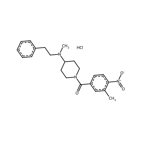 Cc1cc(C(=O)N2CCC(N(C)CCc3ccccc3)CC2)ccc1[N+](=O)[O-].Cl